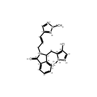 Cn1ncc(C=CCN2C(=O)c3ccccc3C2Cc2c(Cl)cnn2C)n1